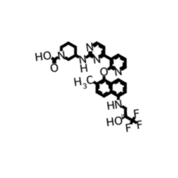 Cc1ccc2c(NC[C@H](O)C(F)(F)F)cccc2c1Oc1ncccc1-c1ccnc(NC2CCCN(C(=O)O)C2)n1